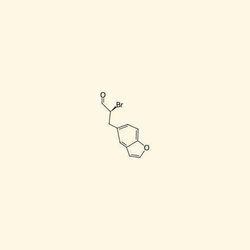 O=C[C@@H](Br)Cc1ccc2occc2c1